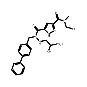 CC(C)CN(C)C(=O)c1cc(C(=O)N(Cc2ccc(-c3ccccc3)cc2)NCC(O)C(=O)O)[nH]n1